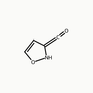 O=C=C1[C]=CON1